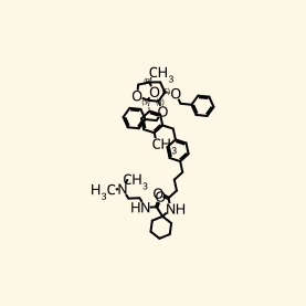 Cc1ccc([C@@]23OC[C@@](C)(C[C@H](OCc4ccccc4)[C@H]2OCc2ccccc2)O3)cc1Cc1ccc(CCCC(=O)NC2(C(=O)NCCN(C)C)CCCCC2)cc1